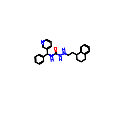 O=C(NNCCC1CCCc2ccccc21)NC(c1ccccc1)c1cccnc1